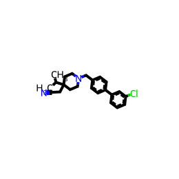 CC(C)C1(CC#N)CCN(Cc2ccc(-c3cccc(Cl)c3)cc2)CC1